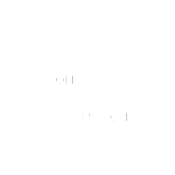 C=C(O)/C=C\C=C\C(=O)O